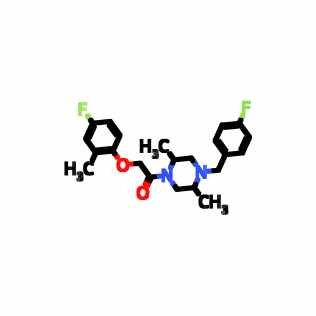 Cc1cc(F)ccc1OCC(=O)N1CC(C)N(Cc2ccc(F)cc2)CC1C